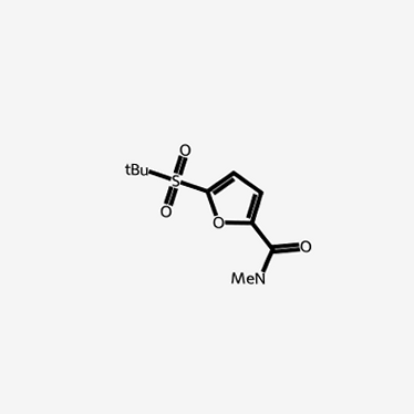 CNC(=O)c1ccc(S(=O)(=O)C(C)(C)C)o1